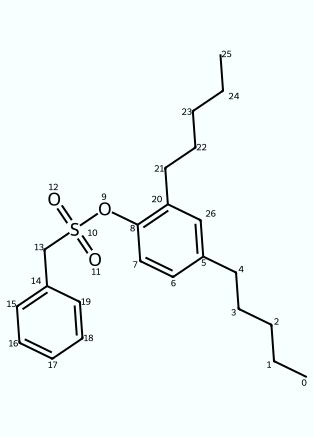 CCCCCc1ccc(OS(=O)(=O)Cc2ccccc2)c(CCCCC)c1